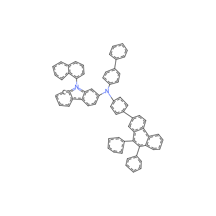 c1ccc(-c2ccc(N(c3ccc(-c4ccc5c(c4)c(-c4ccccc4)c(-c4ccccc4)c4ccccc45)cc3)c3ccc4c5ccccc5n(-c5cccc6ccccc56)c4c3)cc2)cc1